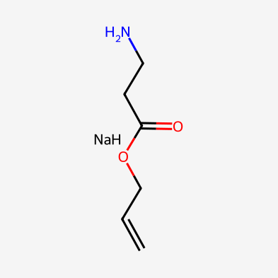 C=CCOC(=O)CCN.[NaH]